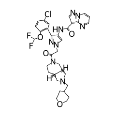 O=C(Nc1cn(CC(=O)N2CC[C@H]3CN(CC4CCOCC4)C[C@H]3C2)nc1-c1cc(Cl)ccc1OC(F)F)c1cnn2cccnc12